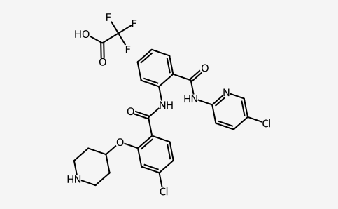 O=C(Nc1ccc(Cl)cn1)c1ccccc1NC(=O)c1ccc(Cl)cc1OC1CCNCC1.O=C(O)C(F)(F)F